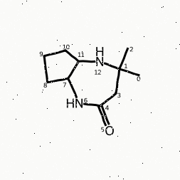 CC1(C)CC(=O)NC2CCCC2N1